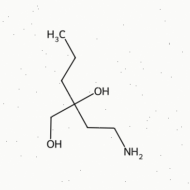 CCCC(O)(CO)CCN